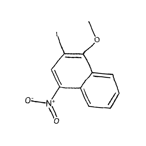 COc1c(I)cc([N+](=O)[O-])c2ccccc12